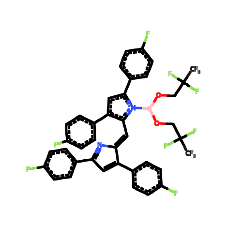 Fc1ccc(C2=CC(c3ccc(F)cc3)=N/C2=C\c2c(-c3ccc(F)cc3)cc(-c3ccc(F)cc3)n2B(OCC(F)(F)C(F)(F)F)OCC(F)(F)C(F)(F)F)cc1